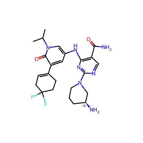 CC(C)n1cc(Nc2nc(N3CCC[C@H](N)C3)ncc2C(N)=O)cc(C2=CCC(F)(F)CC2)c1=O